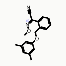 CO/N=C(/C#N)c1ccccc1COc1cc(C)cc(C)c1